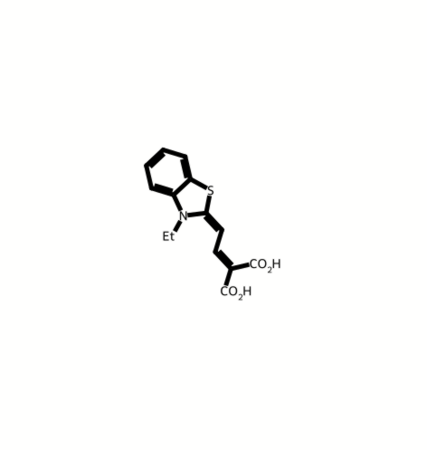 CCN1C(=CC=C(C(=O)O)C(=O)O)Sc2ccccc21